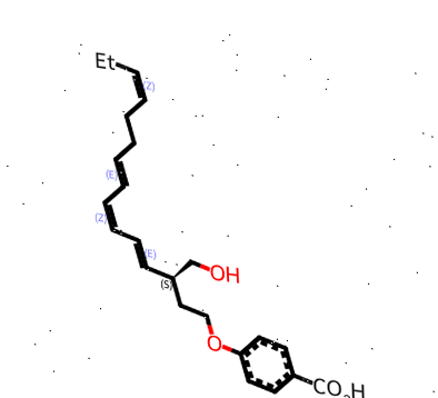 CC/C=C\CC/C=C/C=C\C=C\[C@@H](CO)CCOc1ccc(C(=O)O)cc1